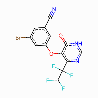 N#Cc1cc(Br)cc(Oc2c(C(F)(F)C(F)F)nc[nH]c2=O)c1